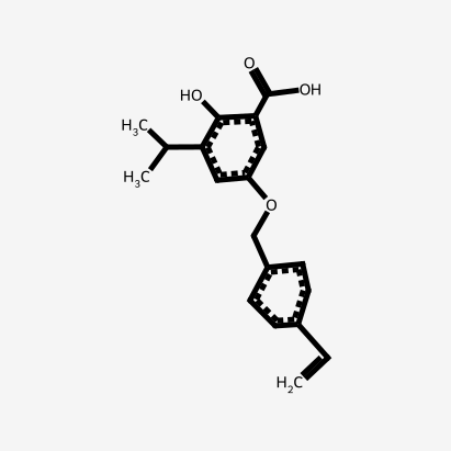 C=Cc1ccc(COc2cc(C(=O)O)c(O)c(C(C)C)c2)cc1